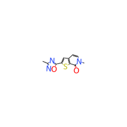 Cc1noc(-c2cc3ccn(C)c(=O)c3s2)n1